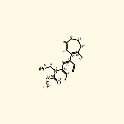 C=C/C(=C\C(=C\C)N(CC(C)C)C(=O)OC(C)C)C1=C(C)CCCC=C1